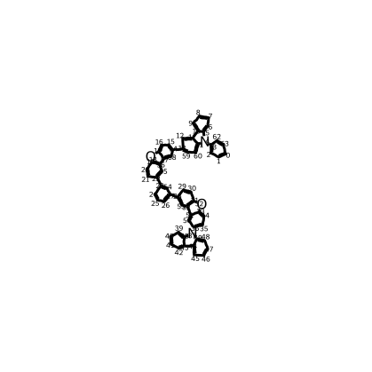 c1ccc(-n2c3ccccc3c3cc(-c4ccc5oc6ccc(-c7cccc(-c8ccc9oc%10ccc(-n%11c%12ccccc%12c%12ccccc%12%11)cc%10c9c8)c7)cc6c5c4)ccc32)cc1